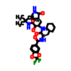 CC(C)(C)NC(=O)C(=O)C(C[C@@H]1CCNC1=O)NC(=O)[C@H](CC1CCCCC1)NC(=O)c1ccc2c(c1)OC(F)(F)O2